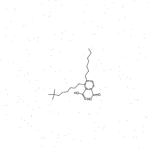 CCCCCCCc1ccc(C(=O)O)c(C(=O)O)c1CCCCCCC(C)(C)C